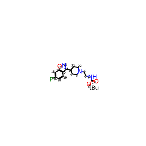 CC(C)(C)OC(=O)NCCN1CCC(c2noc3cc(F)ccc23)CC1